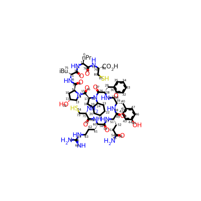 CCC[C@H](NC(=O)[C@@H](NC(=O)[C@@H]1C[C@@H](O)CN1C(=O)[C@@H]1CC2CCCCC2N1C(=O)[C@H](Cc1ccccc1)NC(=O)[C@H](Cc1ccc(O)cc1)NC(=O)[C@H](CCC(N)=O)NC(=O)[C@H](CCCNC(=N)N)NC(=O)[C@@H](N)CS)[C@@H](C)CC)C(=O)N[C@@H](CS)C(=O)O